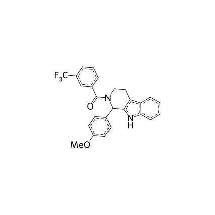 COc1ccc(C2c3[nH]c4ccccc4c3CCN2C(=O)c2cccc(C(F)(F)F)c2)cc1